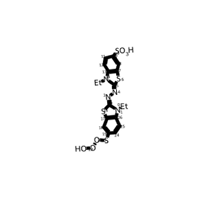 CCn1/c(=N\N=c2\sc3cc(S(=O)(=O)O)ccc3n2CC)sc2cc(SOOO)ccc21